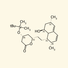 C[C@@H]1C=C2C=C[C@H](C)[C@H](CC[C@H]3C[C@@H](O[Si](C)(C)C(C)(C)C)CC(=O)O3)C2[C@@H](O)C1